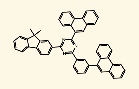 CC1(C)c2ccccc2-c2ccc(-c3nc(-c4cccc(-c5cc6ccccc6c6ccccc56)c4)nc(-c4cc5ccccc5c5ccccc45)n3)cc21